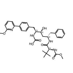 COC(=O)N[C@H](C(=O)N[C@@H](Cc1ccccc1)C[C@H](O)[C@H](Cc1ccc(-c2cccc(OC)n2)cc1)NC(=O)O)C(C)(C)C